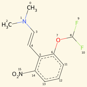 CN(C)C=Cc1c(OC(F)F)cccc1[N+](=O)[O-]